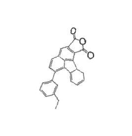 CCc1cccc(-c2ccc3cc4c(c5c3c2C2=CC=CCC25)C(=O)OC4=O)c1